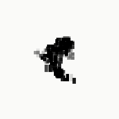 CC(C)C(NC(=O)C(C)(C)C(C)(C)CN1C(=O)C=CC1=O)C(=O)NCC(=O)Nc1ccc(N)cc1